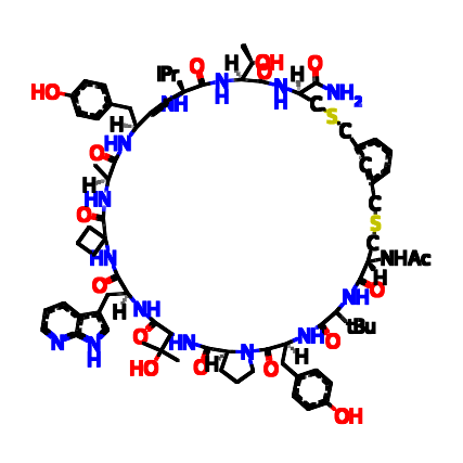 CC(=O)N[C@H]1CSCc2cccc(c2)CSC[C@H](C(N)=O)NC(=O)[C@H]([C@@H](C)O)NC(=O)[C@@]2(C(C)C)C=C(N2)[C@H](Cc2ccc(O)cc2)NC(=O)[C@H](C)NC(=O)C2(CCC2)NC(=O)[C@H](Cc2c[nH]c3ncccc23)NC(=O)C(C(C)(C)O)NC(=O)[C@@H]2CCCN2C(=O)[C@H](Cc2ccc(O)cc2)NC(=O)C(C(C)(C)C)NC1=O